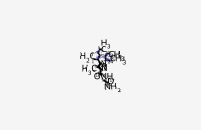 C=C/C(=C\C=C/C)c1c(C)c(C(=O)NCC(N)=O)nn1C(/C=C\C)=C/C